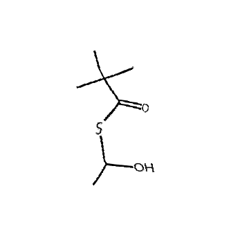 CC(O)SC(=O)C(C)(C)C